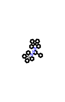 c1ccc(-c2cc(N3c4ccccc4C(c4ccccc4)(c4ccccc4)c4ccccc43)nc(N3c4ccccc4[Si](c4ccccc4)(c4ccccc4)c4ccccc43)c2)cc1